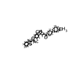 CC(=O)N(Oc1ccc(C(=O)C=CC(=O)N2CCC(N3CCCN(C)CC3)CC2)c(C)c1)c1nc2ccccc2s1